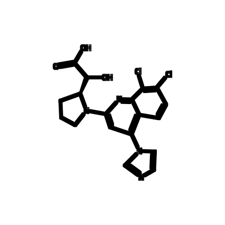 O=C(O)C(O)[C@@H]1CCCN1c1cc(-n2ccnc2)c2ccc(Cl)c(Cl)c2n1